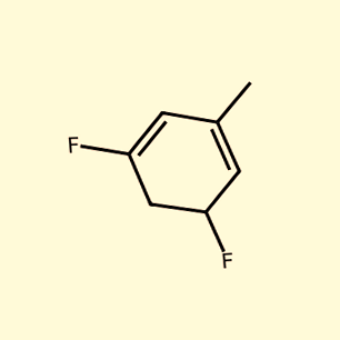 CC1=CC(F)CC(F)=C1